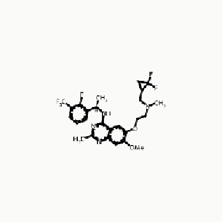 COc1cc2nc(C)nc(N[C@H](C)c3cccc(C(F)(F)F)c3F)c2cc1OCCN(C)CC1CC1(F)F